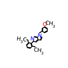 CCc1cccc(CC)c1-c1cc2ccn(Cc3cccc(OC)c3)c2cn1